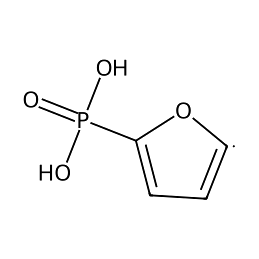 O=P(O)(O)c1cc[c]o1